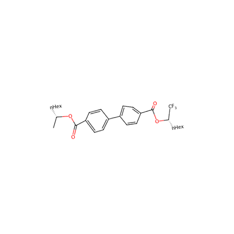 CCCCCC[C@@H](C)OC(=O)c1ccc(-c2ccc(C(=O)O[C@@H](CCCCCC)C(F)(F)F)cc2)cc1